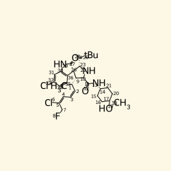 CC(/C=C\C=C(\Cl)CF)[C@H]1[C@H](C(=O)N[C@H]2CC[C@](C)(O)CC2)N[C@@H](CC(C)(C)C)[C@@]12C(=O)Nc1cc(Cl)ccc12